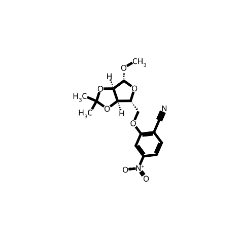 CO[C@@H]1O[C@H](COc2cc([N+](=O)[O-])ccc2C#N)[C@H]2OC(C)(C)O[C@@H]12